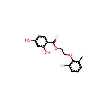 Cc1cccc(Cl)c1OCCOC(=O)c1ccc(O)cc1O